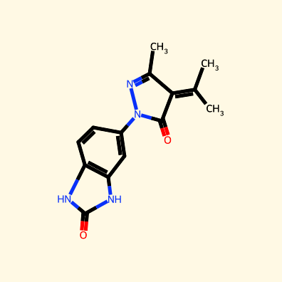 CC1=NN(c2ccc3[nH]c(=O)[nH]c3c2)C(=O)C1=C(C)C